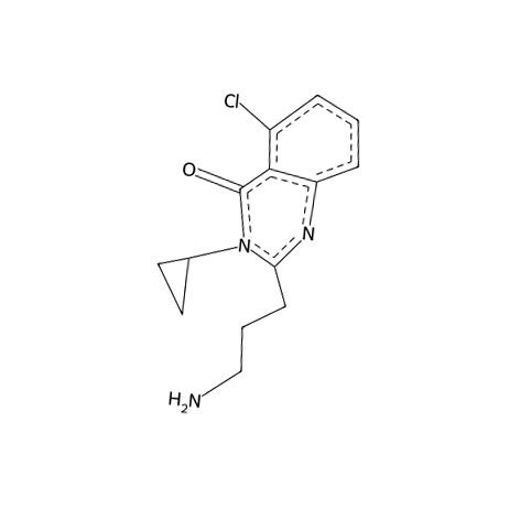 NCCCc1nc2cccc(Cl)c2c(=O)n1C1CC1